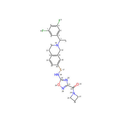 CC(c1cc(F)cc(F)c1)N1CCc2ccc(SNc3nc(C(=O)N4CCC4)no3)cc2C1